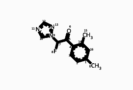 Cc1ccc(C(=O)C(F)n2cncn2)c(C)c1